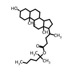 CCCCC(C)(C)OC(=O)CCC(C)C1CCC2C3CCC4C[C@H](O)CCC4(C)C3CCC12C